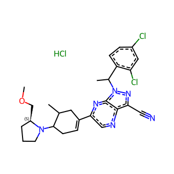 COC[C@@H]1CCCN1C1CC=C(c2cnc3c(C#N)nn(C(C)c4ccc(Cl)cc4Cl)c3n2)CC1C.Cl